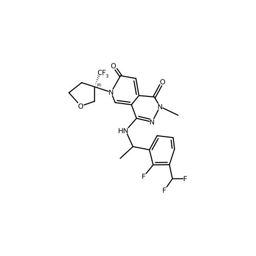 CC(Nc1nn(C)c(=O)c2cc(=O)n([C@]3(C(F)(F)F)CCOC3)cc12)c1cccc(C(F)F)c1F